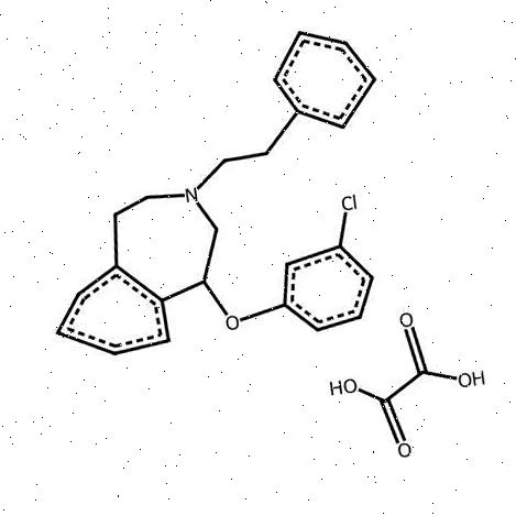 Clc1cccc(OC2CN(CCc3ccccc3)CCc3ccccc32)c1.O=C(O)C(=O)O